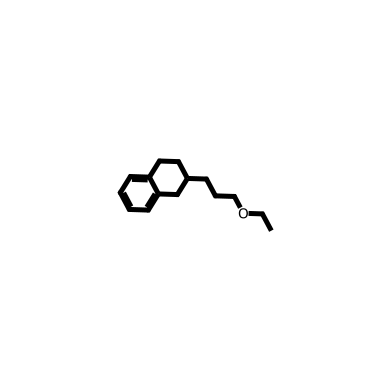 CCOCCCC1CCc2ccccc2C1